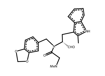 CNCC(=O)N(Cc1ccc2c(c1)OCO2)[C@@H](C=O)Cc1c(C)[nH]c2ccccc12